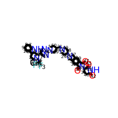 C[C@@H]1Cc2c([nH]c3ccccc23)[C@@H](c2cnc(N3CCC(CN4CCC(N5Cc6cc7c(cc6C5)C(=O)N(C5CCC(=O)NC5=O)C7=O)CC4)CC3)nc2)N1CC(F)F